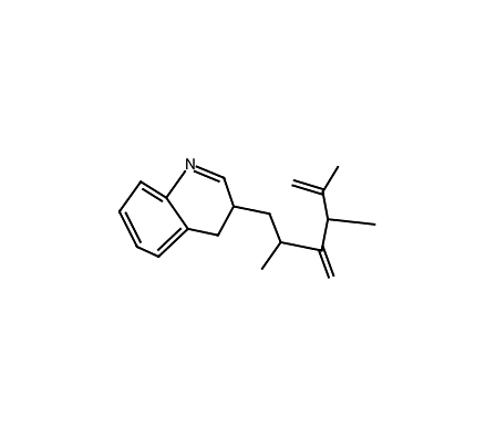 C=C(C)C(C)C(=C)C(C)CC1C=Nc2ccccc2C1